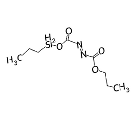 CCCOC(=O)N=NC(=O)O[SiH2]CCC